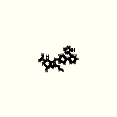 CCCc1cc2c(n1Cc1ccc(-c3ccccc3-c3nnn[nH]3)cc1)NC(N(C)C)=NC2C